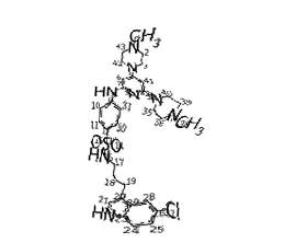 CN1CCN(c2cc(Nc3ccc(S(=O)(=O)NCCCc4c[nH]c5ccc(Cl)cc45)cc3)nc(N3CCN(C)CC3)c2)CC1